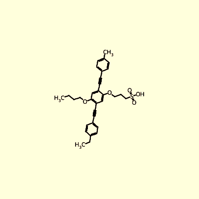 CCCCOc1cc(C#Cc2ccc(C)cc2)c(OCCCS(=O)(=O)O)cc1C#Cc1ccc(CC)cc1